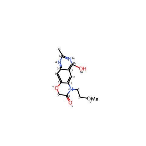 COCCN1C(=O)COc2cc3nc(C)nc(O)c3cc21